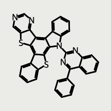 c1ccc(-c2nc(-n3c4ccccc4c4c5c6ncncc6sc5c5c6ccccc6sc5c43)nc3ccccc23)cc1